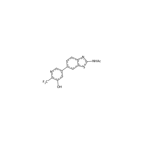 CC(=O)Nc1nc2ccc(-c3cnc(C(F)(F)F)c(O)c3)cc2s1